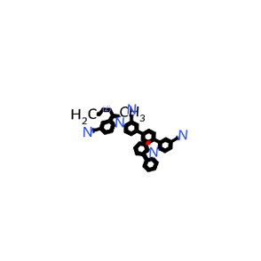 C=C/C=C\c1c(C)n(-c2ccc(-c3ccc(-c4cc(C#N)ccc4-n4c5ccccc5c5ccccc54)cc3)cc2C#N)c2ccc(C#N)cc12